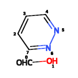 O=CO.c1ccnnc1